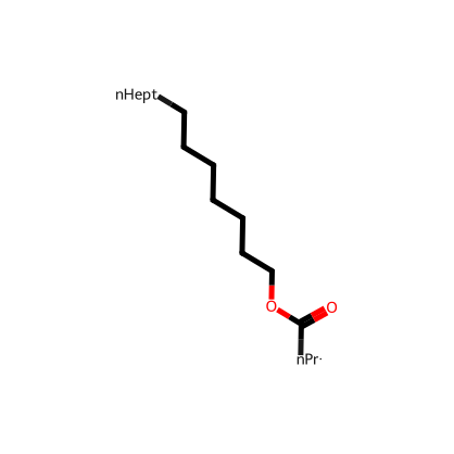 CC[CH]C(=O)OCCCCCCCCCCCCCC